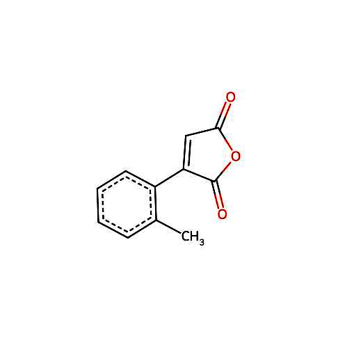 Cc1ccccc1C1=CC(=O)OC1=O